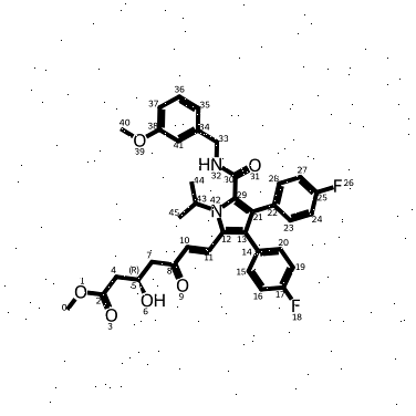 COC(=O)C[C@H](O)CC(=O)C=Cc1c(-c2ccc(F)cc2)c(-c2ccc(F)cc2)c(C(=O)NCc2cccc(OC)c2)n1C(C)C